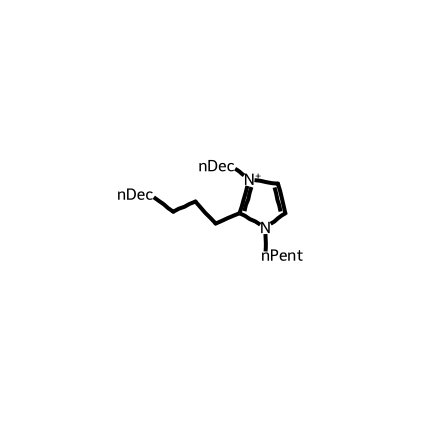 CCCCCCCCCCCCCc1n(CCCCC)cc[n+]1CCCCCCCCCC